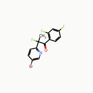 CC(F)(C(=O)c1ccc(F)cc1F)c1ccc(Br)cn1